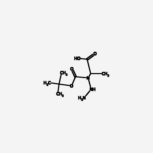 CC(C(=O)O)N(NN)C(=O)OC(C)(C)C